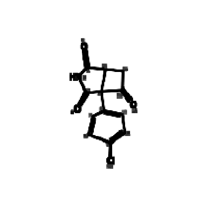 O=C1NC(=O)C2(c3ccc(Cl)cc3)C(=O)CC12